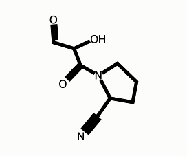 N#CC1CCCN1C(=O)C(O)C=O